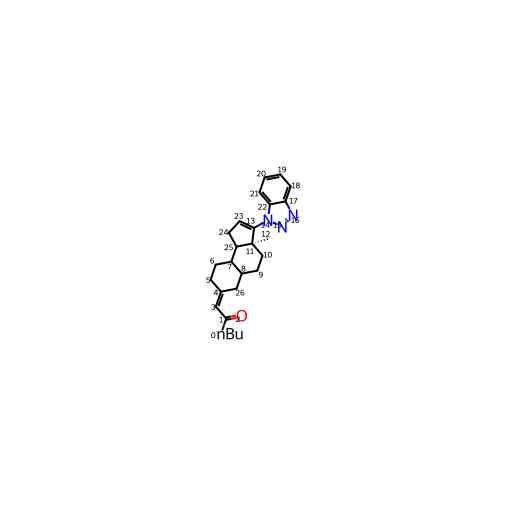 CCCCC(=O)/C=C1/CCC2C(CC[C@]3(C)C(n4nnc5ccccc54)=CCC23)C1